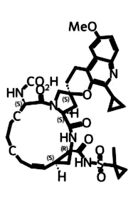 COc1ccc2nc(C3CC3)c3c(c2c1)CC[C@@]1(C[C@H]2C(=O)N[C@]4(C(=O)NS(=O)(=O)C5(C)CC5)C[C@H]4C=CCCCCC[C@H](NC(=O)O)C(=O)N2C1)O3